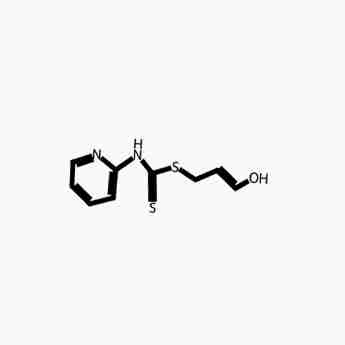 OC=CCSC(=S)Nc1ccccn1